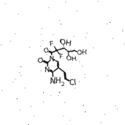 Nc1nc(=O)n(C(=O)C(F)(F)[C@H](O)[C@H](O)CO)cc1/C=C/Cl